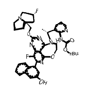 C[C@H](c1cccnc1NC(=O)OC(C)(C)C)N1CCOc2nc(-c3cc(O)cc4ccccc34)c(F)c3nc(OC[C@@]45CCCN4C[C@H](F)C5)nc1c23